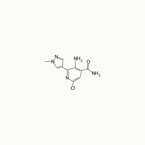 Cn1cc(-c2nc(Cl)cc(C(N)=O)c2N)cn1